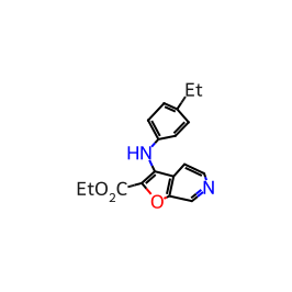 CCOC(=O)c1oc2cnccc2c1Nc1ccc(CC)cc1